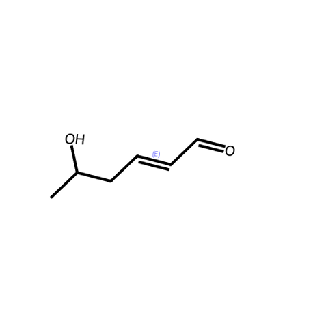 CC(O)C/C=C/C=O